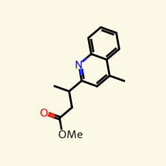 COC(=O)CC(C)c1cc(C)c2ccccc2n1